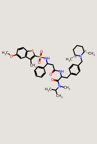 COc1ccc2sc(S(=O)(=O)NC(CC(=O)NC(Cc3ccc(CN4[C@H](C)CCC[C@@H]4C)cc3)C(=O)N(C)C(C)C)c3ccccc3)c(C)c2c1